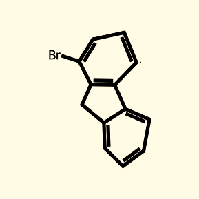 Brc1cc[c]c2c1Cc1ccccc1-2